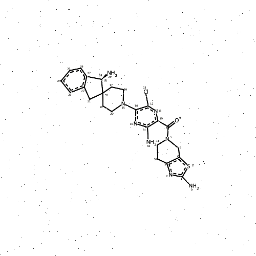 Nc1nc2c(s1)CN(C(=O)c1nc(Cl)c(N3CCC4(CC3)Cc3ccccc3[C@H]4N)nc1N)CC2